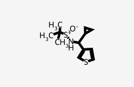 CC(C)(C)[S+]([O-])NC(c1ccsc1)C1CC1